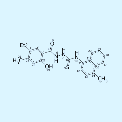 CCc1cc(C(=O)NNC(=S)Nc2ccc(C)c3ccccc23)c(O)cc1C